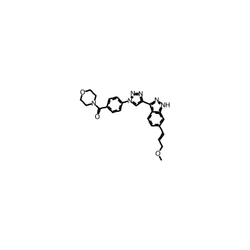 COC/C=C/c1ccc2c(-c3cn(-c4ccc(C(=O)N5CCOCC5)cc4)nn3)n[nH]c2c1